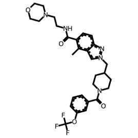 Cc1c(C(=O)NCCN2CCOCC2)ccc2nn(CC3CCN(C(=O)c4cccc(OC(F)(F)F)c4)CC3)cc12